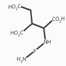 [NH2][Ir][NH]C(C(=O)O)C(CC(=O)O)C(=O)O